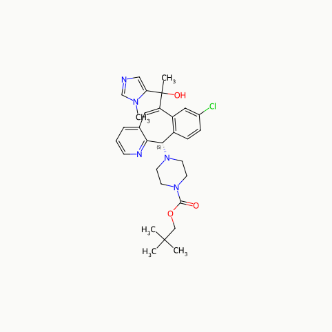 Cn1cncc1C(C)(O)C1=Cc2cccnc2[C@@H](N2CCN(C(=O)OCC(C)(C)C)CC2)c2ccc(Cl)cc21